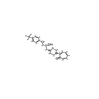 CC(C)(C)c1ccc(OCC(O)CN2CCN(c3cccccc3=O)CC2)cc1